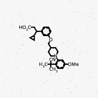 COc1ccc(C(C)(C)C#N)c(N2CCC(COc3cccc(C(CC(=O)O)C4CC4)c3)CC2)c1